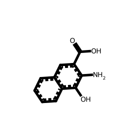 Nc1c(C(=O)O)cc2ccccc2c1O